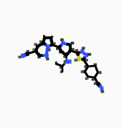 CC(C)Nc1cc(-c2ccc3cc(C#N)cnn23)ncc1-c1nnc(C2CCC(C#N)CC2)s1